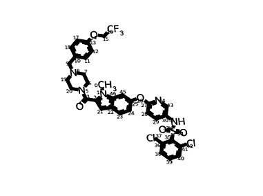 Cn1c(C(=O)N2CCN(Cc3ccc(OCC(F)(F)F)cc3)CC2)cc2ccc(Oc3ccc(NS(=O)(=O)c4c(Cl)cccc4Cl)cn3)cc21